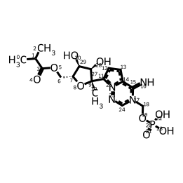 CC(C)C(=O)OC[C@H]1O[C@@](C)(c2ccc3c(=N)n(COP(=O)(O)O)cnn23)[C@H](O)[C@@H]1O